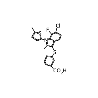 Cc1ccc(-n2c(C)c(Sc3cccc(C(=O)O)c3)c3ccc(Cl)c(F)c32)s1